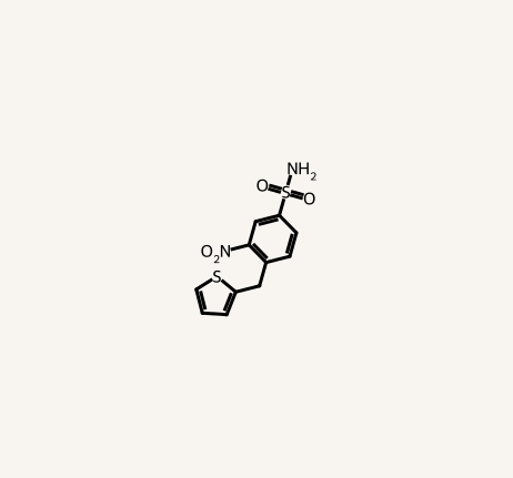 NS(=O)(=O)c1ccc(Cc2cccs2)c([N+](=O)[O-])c1